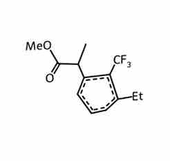 CCc1cccc(C(C)C(=O)OC)c1C(F)(F)F